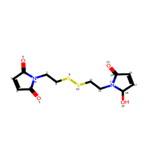 O=C1C=CC(=O)N1CCSSCCN1C(=O)C=CC1O